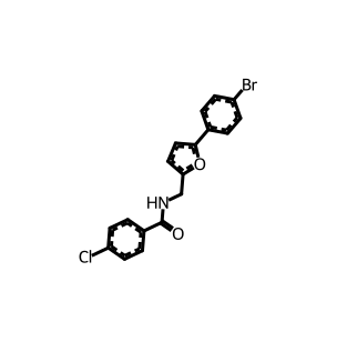 O=C(NCc1ccc(-c2ccc(Br)cc2)o1)c1ccc(Cl)cc1